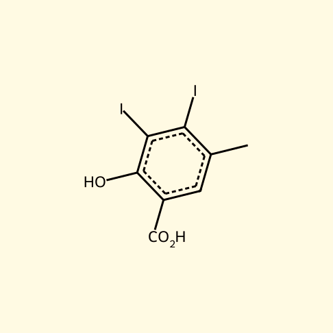 Cc1cc(C(=O)O)c(O)c(I)c1I